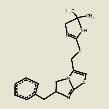 CC1(C)CN=C(SCC2=CSC3=NC(Cc4ccccc4)CN23)N1